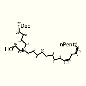 CCCCC/C=C\C/C=C\CCCCCCCCN(CCO)CCCCCCCCCCCCCC